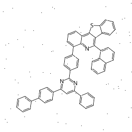 c1ccc(-c2ccc(-c3cc(-c4ccccc4)nc(-c4ccc(-c5cccc6c5nc(-c5cccc7ccccc57)c5c7ccccc7sc65)cc4)n3)cc2)cc1